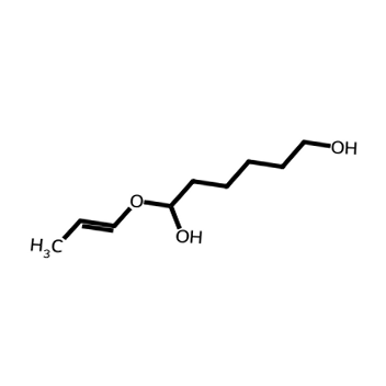 CC=COC(O)CCCCCO